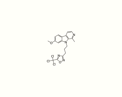 COc1ccc2c3ccnc(C)c3n(CCCc3noc(C(Cl)(Cl)Cl)n3)c2c1